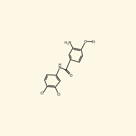 CCOc1ccc(C(=O)Nc2ccc(Cl)c(Cl)c2)cc1N